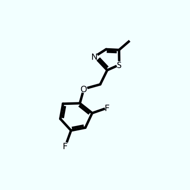 Cc1cnc(COc2ccc(F)cc2F)s1